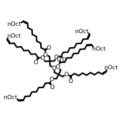 CCCCCCCC/C=C\CCCCCCCC(=O)OCC(COCC(COC(=O)CCCCCCC/C=C\CCCCCCCC)(COC(=O)CCCCCCC/C=C\CCCCCCCC)COC(=O)CCCCCCC/C=C\CCCCCCCC)(COC(=O)CCCCCCC/C=C\CCCCCCCC)COC(=O)CCCCCCC/C=C\CCCCCCCC